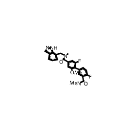 CNC(=O)c1cc(-c2c(F)cc(C(=O)N(C)Cc3cccc4cn[nH]c34)cc2OC)ccc1F